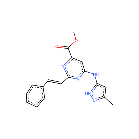 COC(=O)c1cc(Nc2cc(C)n[nH]2)nc(C=Cc2ccccc2)n1